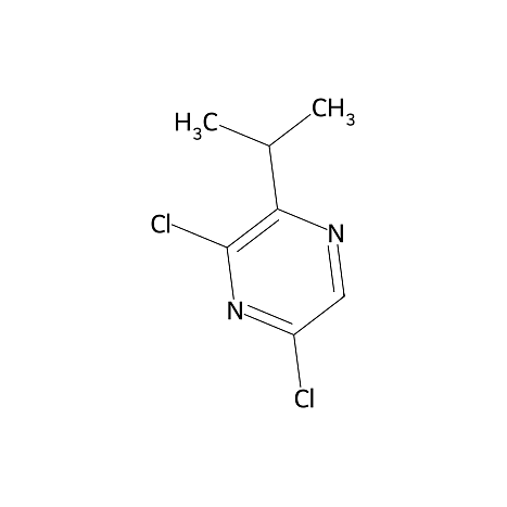 CC(C)c1ncc(Cl)nc1Cl